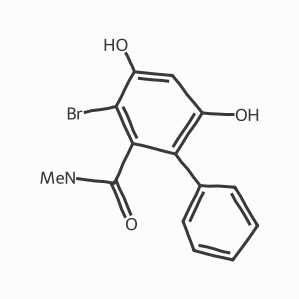 CNC(=O)c1c(Br)c(O)cc(O)c1-c1ccccc1